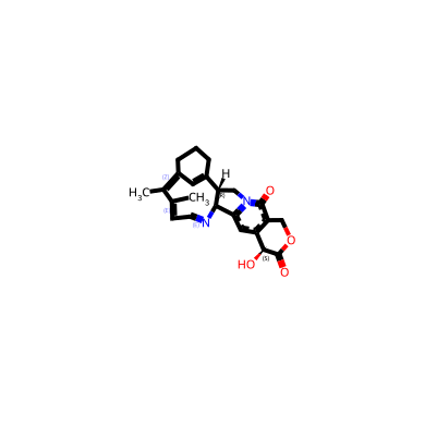 CC1=C2\C=C(CCC2)[C@@H]2Cn3c(cc4c(c3=O)COC(=O)[C@H]4O)C2/N=C/C=C/1C